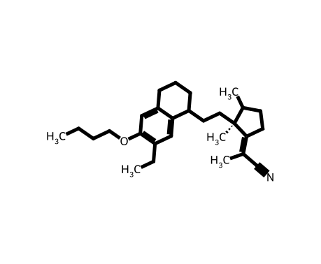 CCCCOc1cc2c(cc1CC)C(CC[C@]1(C)/C(=C(\C)C#N)CCC1C)CCC2